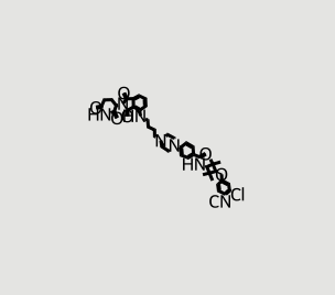 CC1(C)[C@H](NC(=O)c2ccc(N3CCN(CCCCNc4cccc5c4C(=O)N(C4CCC(=O)NC4=O)C5=O)CC3)cc2)C(C)(C)[C@H]1Oc1ccc(C#N)c(Cl)c1